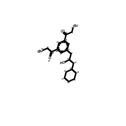 CC(C)(C)CC(=O)c1cc(CC(O)CC2CCCCC2)cc(C(=O)CC(C)(C)C)c1